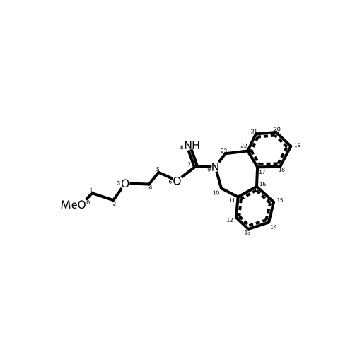 COCCOCCOC(=N)N1Cc2ccccc2-c2ccccc2C1